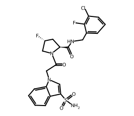 NS(=O)(=O)c1cn(CC(=O)N2C[C@H](F)C[C@H]2C(=O)NCc2cccc(Cl)c2F)c2ccccc12